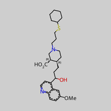 COc1ccc2nccc(C(O)CC[C@@H]3CCN(CCCSC4CCCCC4)C[C@@H]3C(=O)O)c2c1